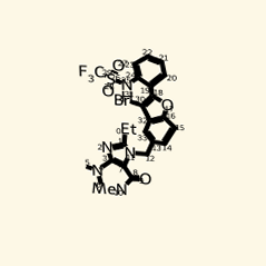 CCc1nc(N(C)C)c(C(=O)NC)n1Cc1ccc2oc(-c3ccccc3NS(=O)(=O)C(F)(F)F)c(Br)c2c1